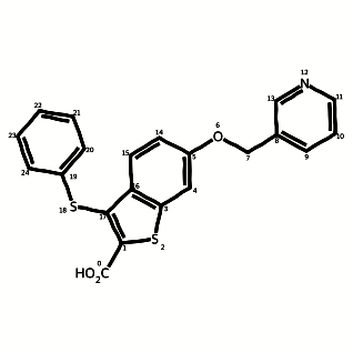 O=C(O)c1sc2cc(OCc3cccnc3)ccc2c1Sc1ccccc1